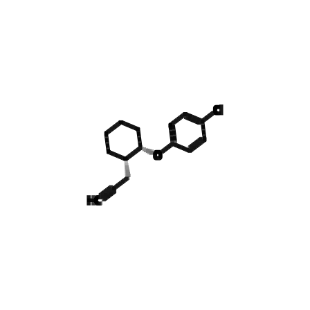 C#CC[C@@H]1CCCC[C@@H]1Oc1ccc(Cl)cc1